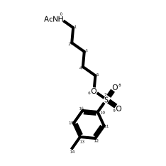 CC(=O)NCCCCCOS(=O)(=O)c1ccc(C)cc1